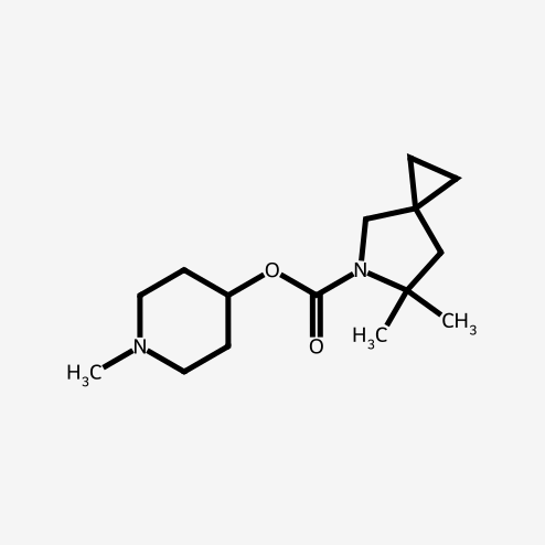 CN1CCC(OC(=O)N2CC3(CC3)CC2(C)C)CC1